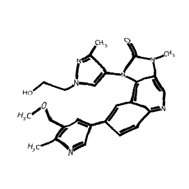 COc1cc(-c2ccc3ncc4c(c3c2)n(-c2cn(CCO)nc2C)c(=O)n4C)cnc1C